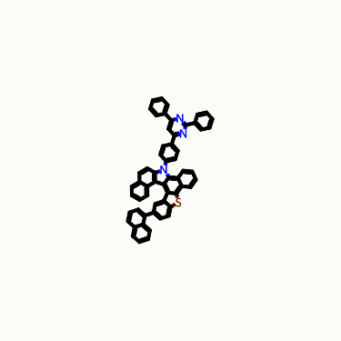 c1ccc(-c2cc(-c3ccc(-n4c5ccc6ccccc6c5c5c6c7cc(-c8cccc9ccccc89)ccc7sc6c6ccccc6c54)cc3)nc(-c3ccccc3)n2)cc1